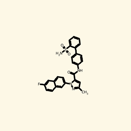 Cc1cc(C(=O)Nc2ccc(-c3ccccc3S(N)(=O)=O)cc2)n(-c2ccc3cc(F)ccc3c2)n1